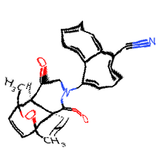 CC12C=CC(C)(O1)[C@H]1C(=O)N(c3ccc(C#N)c4ccccc34)C(=O)[C@H]12